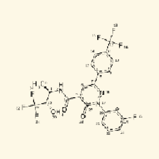 C[C@@H](NC(=O)c1cc(-c2ccc(C(F)(F)F)cc2)nn(-c2cccc(F)c2)c1=O)[C@H](O)C(F)(F)F